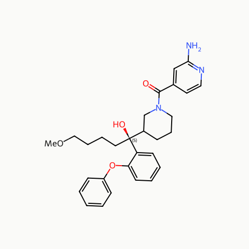 COCCCC[C@@](O)(c1ccccc1Oc1ccccc1)C1CCCN(C(=O)c2ccnc(N)c2)C1